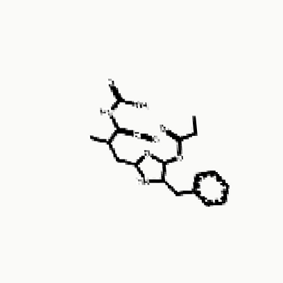 CCC(=O)OC1OC(CC(C)C(=C=O)NC(=O)O)NC1Cc1ccccc1